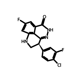 O=c1[nH]nc2c3c(cc(F)cc13)NC[C@@H]2c1ccc(Cl)c(F)c1